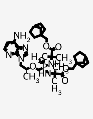 C[C@H](Cn1cnc2c(N)ccnc21)OCP(=O)(NC(C)(C)C(=O)OCC12CCC(CC1)C2)NC(C)(C)C(=O)OCC12CCC(CC1)C2